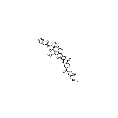 C[C@H](CC(=O)N1C(C(=O)O)=C(S[C@@H]2CN[C@H](C(=O)N3CCC(C(=O)NCC(O)CN)CC3)C2)[C@H](C)[C@@H]1C)NC(=O)Cn1cnnn1